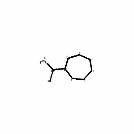 CCCC(C)[C]1CCCCCC1